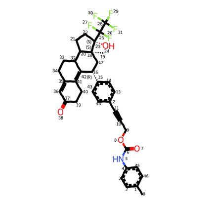 Cc1ccc(NC(=O)OCC#Cc2ccc([C@H]3C[C@@]4(C)C(CC[C@@]4(O)C(F)(F)C(F)(F)F)C4CCC5=CC(=O)CCC5=C43)cc2)cc1